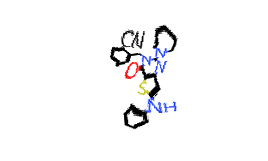 N#Cc1ccccc1Cn1c(N2CCCCC2)nc2cc(Nc3ccccc3)sc2c1=O